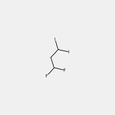 FC(F)[CH]C(I)I